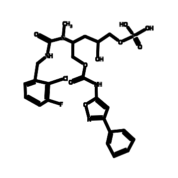 CN(C(=O)NCc1cccc(F)c1Cl)C(COC(=O)Nc1cc(-c2ccccc2)no1)CC(O)COP(=O)(O)O